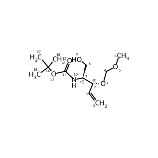 C=C[C@@H](OCOC)[C@H](CO)NC(=O)OC(C)(C)C